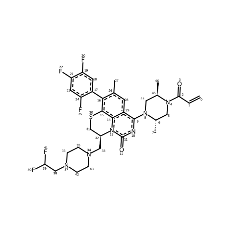 C=CC(=O)N1C[C@H](C)N(c2nc(=O)n3c4c(c(-c5cc(F)c(F)cc5F)c(C)cc24)SC[C@@H]3CN2CCN(CC(F)F)CC2)C[C@H]1C